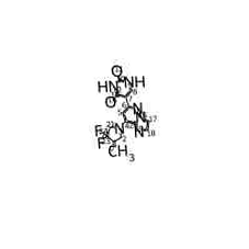 CC1CN(c2cc(-c3c[nH]c(=O)[nH]c3=O)nn3ccnc23)CC1(F)F